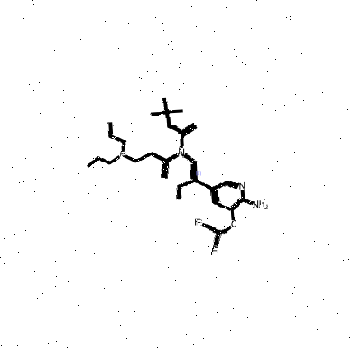 C=C(CCN(CCC)CCC)N(/C=C(\CC)c1cnc(N)c(OC(F)F)c1)C(=C)CC(C)(C)C